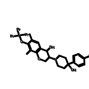 Cc1cc2c(c(C)c1O[Si](C(C)C)(C(C)C)C(C)C)OCC(N1CCC(O)(c3ccc(F)cc3)CC1)C2O